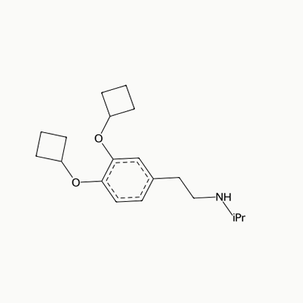 CC(C)NCCc1ccc(OC2CCC2)c(OC2CCC2)c1